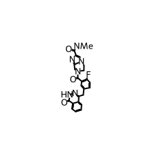 CNC(=O)c1cn2c(n1)CN(C(=O)c1cc(Cc3n[nH]c(=O)c4ccccc34)ccc1F)CC2